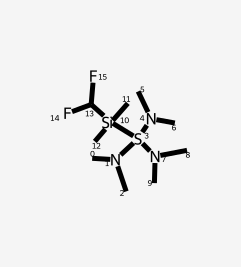 CN(C)S(N(C)C)(N(C)C)[Si](C)(C)C(F)F